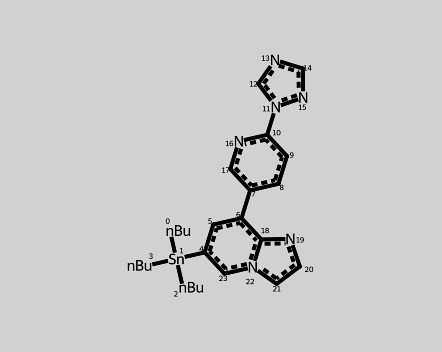 CCC[CH2][Sn]([CH2]CCC)([CH2]CCC)[c]1cc(-c2ccc(-n3cncn3)nc2)c2nccn2c1